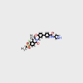 CCc1c(C(=O)N2CCOc3ccc(-c4ccc(C(=O)NC5CCNC5)cc4)cc3C2)ccc(S(=O)(=O)CC)c1F